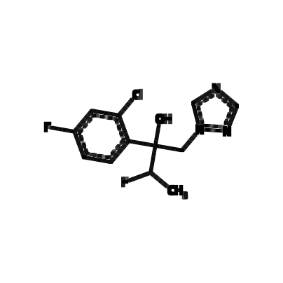 CC(F)C(O)(Cn1cncn1)c1ccc(F)cc1Cl